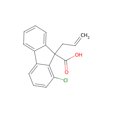 C=CCC1(C(=O)O)c2ccccc2-c2cccc(Cl)c21